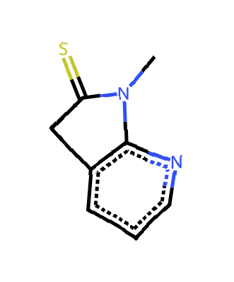 CN1C(=S)Cc2cccnc21